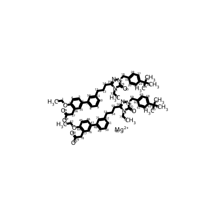 CCOc1ccc(-c2cccc(CCCc3nn(Cc4ccc(C(C)(C)C)cc4)c(=O)n3CC)c2)cc1CC(=O)[O-].CCOc1ccc(-c2cccc(CCCc3nn(Cc4ccc(C(C)(C)C)cc4)c(=O)n3CC)c2)cc1CC(=O)[O-].[Mg+2]